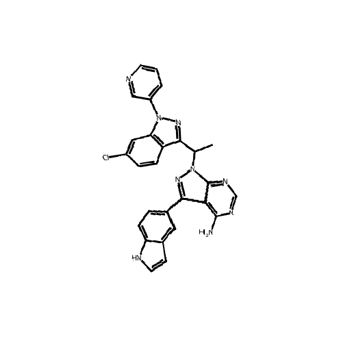 CC(c1nn(-c2cccnc2)c2cc(Cl)ccc12)n1nc(-c2ccc3[nH]ccc3c2)c2c(N)ncnc21